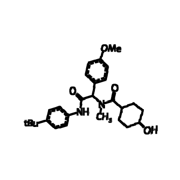 COc1ccc(C(C(=O)Nc2ccc(C(C)(C)C)cc2)N(C)C(=O)C2CCC(O)CC2)cc1